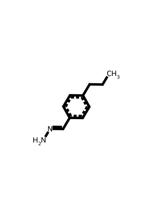 CCCc1ccc(/C=N/N)cc1